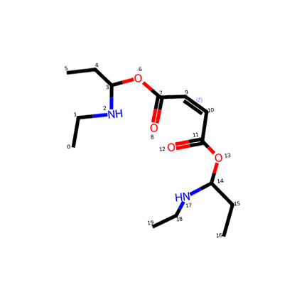 CCNC(CC)OC(=O)/C=C\C(=O)OC(CC)NCC